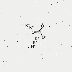 [H-].[K+].[K+].[K+].[K+].[O-]B([O-])[O-]